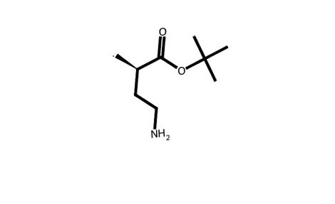 [CH2][C@H](CCN)C(=O)OC(C)(C)C